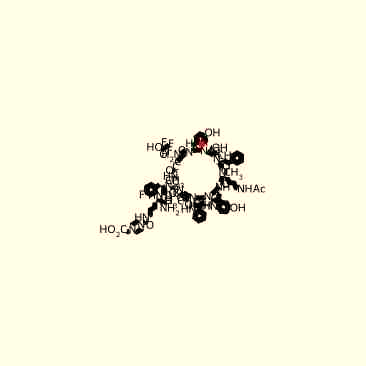 CC(=O)NCCCC[C@H]1C(=O)N[C@@H](Cc2c[nH]c3ccc(O)cc23)C(=O)N[C@@H](Cc2c[nH]c3ccccc23)C(=O)N[C@@H]([C@H](C)O)C(=O)N(C)[C@H](C(=O)N(C)[C@@H](Cc2ccc(F)cc2)C(=O)N[C@@H](CCCCNC(=O)N2CCN(CC(=O)O)CC2)C(N)=O)CNC(=O)CC[C@H](N)C(=O)N[C@@H](Cc2ccc(O)cc2)C(=O)N[C@@H](CO)C(=O)N(C)[C@@H](CCc2ccccc2)C(=O)N1C.O=C(O)C(F)(F)F